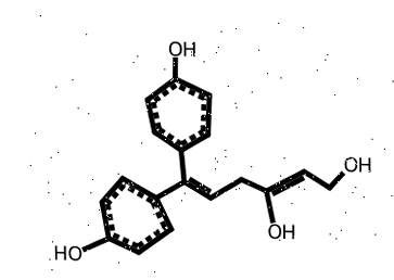 OCC=C(O)CC=C(c1ccc(O)cc1)c1ccc(O)cc1